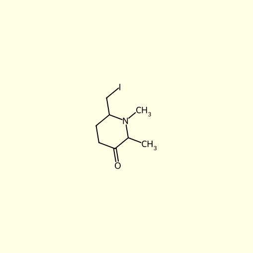 CC1C(=O)CCC(CI)N1C